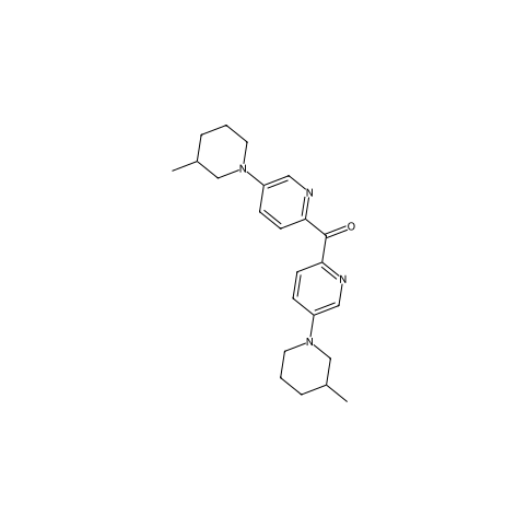 CC1CCCN(c2ccc(C(=O)c3ccc(N4CCCC(C)C4)cn3)nc2)C1